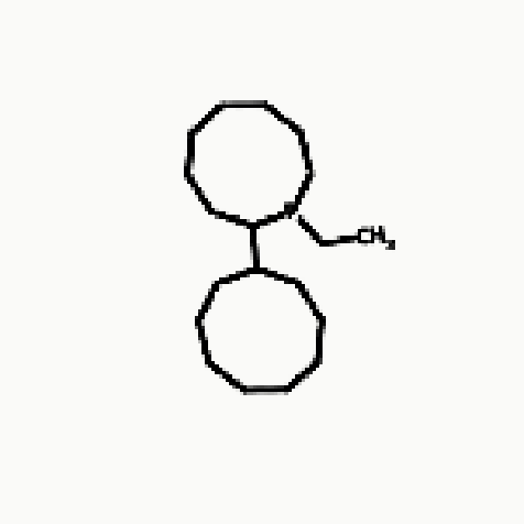 CCP1CCCCCCCC1C1CCCCCCCC1